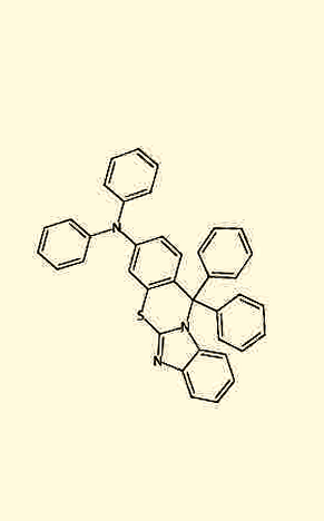 c1ccc(N(c2ccccc2)c2ccc3c(c2)Sc2nc4ccccc4n2C3(c2ccccc2)c2ccccc2)cc1